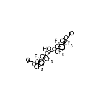 CC1(C(OCC(O)COC(C)(C)C(C2CCCC(C)(C(OCC3CO3)(C(F)(F)F)C(F)(F)F)CC2)(C(F)(F)F)C(F)(F)F)(C(F)(F)F)C(F)(F)F)CCCC(C(C(F)(F)F)(C(F)(F)F)C(C)(C)OCC2CO2)CC1